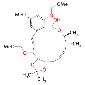 COCOc1cc(OC)cc2c1C(O)O[C@@H](C)[C@H](C)/C=C\CC1OC(C)(C)OC1C(OCOC)/C=C/2